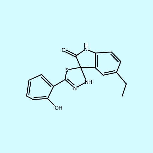 CCc1ccc2c(c1)C1(NN=C(c3ccccc3O)S1)C(=O)N2